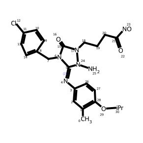 Cc1cc(/N=c2/n(Cc3ccc(Cl)cc3)c(=O)n(CCCC(=O)N=O)n2N)ccc1OC(C)C